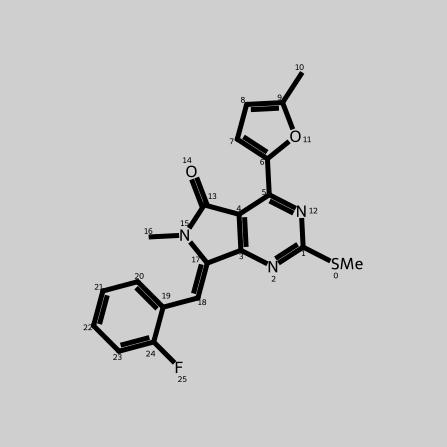 CSc1nc2c(c(-c3ccc(C)o3)n1)C(=O)N(C)/C2=C\c1ccccc1F